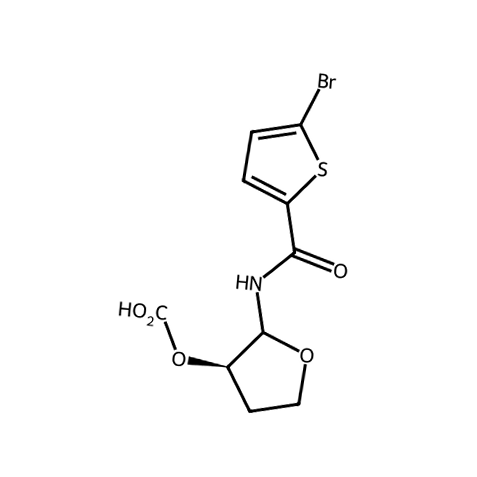 O=C(O)O[C@@H]1CCOC1NC(=O)c1ccc(Br)s1